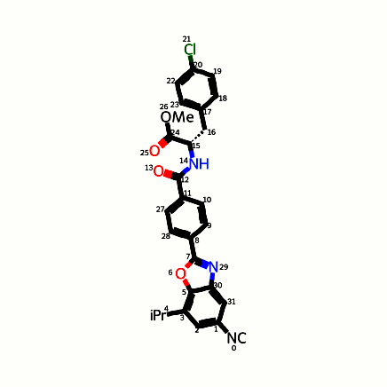 [C-]#[N+]c1cc(C(C)C)c2oc(-c3ccc(C(=O)N[C@@H](Cc4ccc(Cl)cc4)C(=O)OC)cc3)nc2c1